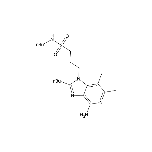 CCCCNS(=O)(=O)CCCn1c(CCCC)nc2c(N)nc(C)c(C)c21